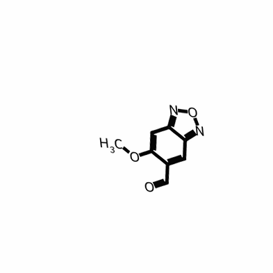 COc1cc2nonc2cc1C=O